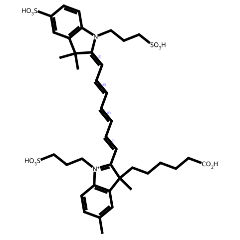 Cc1ccc2c(c1)C(C)(CCCCCC(=O)O)C(/C=C/C=C/C=C/C=C1/N(CCCS(=O)(=O)O)c3ccc(S(=O)(=O)O)cc3C1(C)C)=[N+]2CCCS(=O)(=O)O